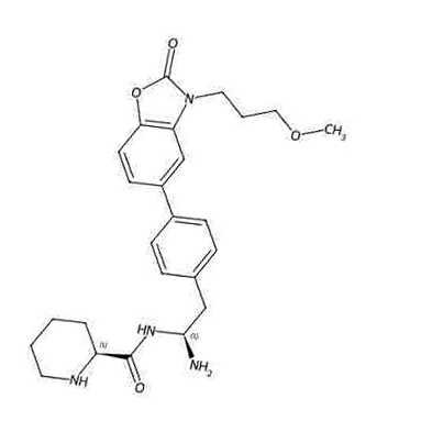 COCCCn1c(=O)oc2ccc(-c3ccc(C[C@@H](N)NC(=O)[C@@H]4CCCCN4)cc3)cc21